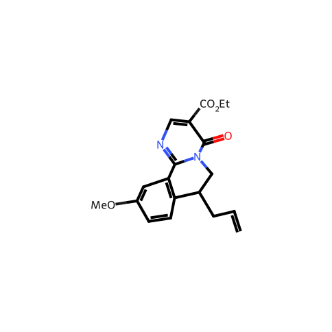 C=CCC1Cn2c(ncc(C(=O)OCC)c2=O)-c2cc(OC)ccc21